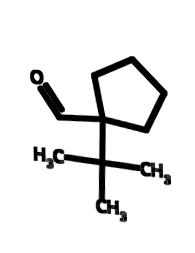 CC(C)(C)C1(C=O)CCCC1